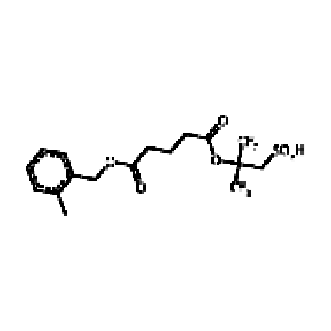 Cc1ccccc1COC(=O)CCCC(=O)OC(CS(=O)(=O)O)(C(F)(F)F)C(F)(F)F